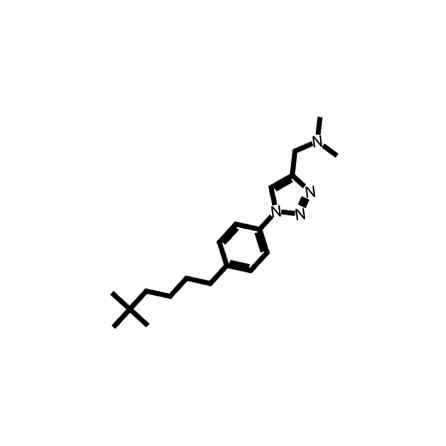 CN(C)Cc1cn(-c2ccc(CCCCC(C)(C)C)cc2)nn1